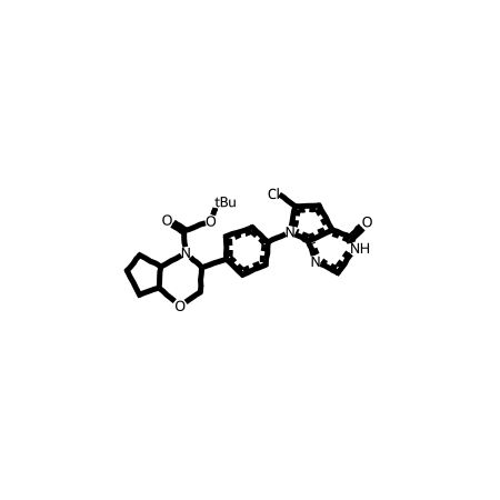 CC(C)(C)OC(=O)N1C(c2ccc(-n3c(Cl)cc4c(=O)[nH]cnc43)cc2)COC2CCCC21